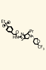 CCS(=O)(=O)c1ccc(CC(=O)Nc2nc3c(s2)CN(C[C@H]2CCC(C(F)(F)F)OC2)C3C(C)C)cc1